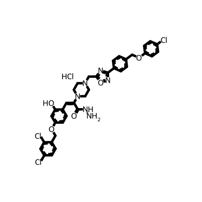 Cl.NNC(=O)C(=Cc1ccc(OCc2ccc(Cl)cc2Cl)cc1O)N1CCN(Cc2nc(-c3ccc(COc4ccc(Cl)cc4)cc3)no2)CC1